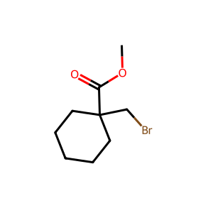 COC(=O)C1(CBr)CCCCC1